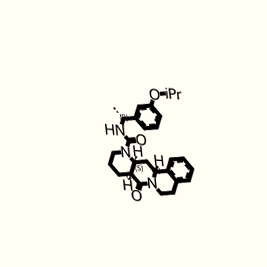 CC(C)Oc1cccc([C@@H](C)NC(=O)N2CCC[C@@H]3C(=O)N4CCc5ccccc5[C@H]4C[C@@H]32)c1